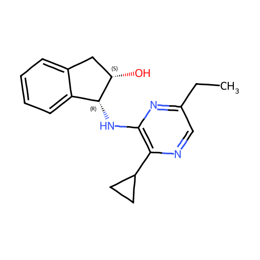 CCc1cnc(C2CC2)c(N[C@@H]2c3ccccc3C[C@@H]2O)n1